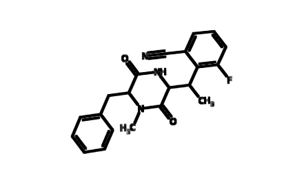 CC(c1c(F)cccc1C#N)C1NC(=O)C(Cc2ccccc2)N(C)C1=O